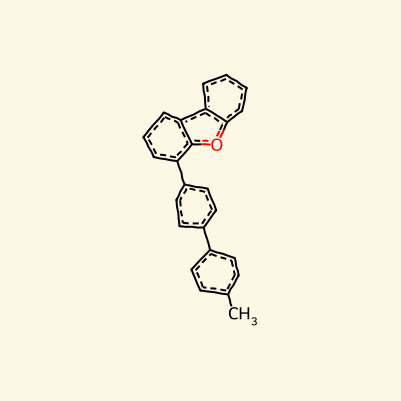 Cc1ccc(-c2ccc(-c3cccc4c3oc3ccccc34)cc2)cc1